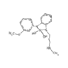 CNCCCN1c2ccccc2N(c2cccc(OC)c2)S1(O)O